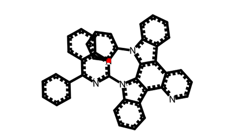 c1ccc(-c2nc(-n3c4ccccc4c4c5ncccc5c5c6ccccc6n(-c6ccccc6)c5c43)nc3ccccc23)cc1